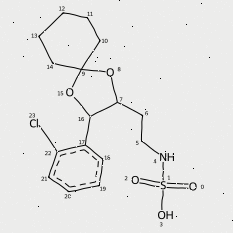 O=S(=O)(O)NCCC1OC2(CCCCC2)OC1c1ccccc1Cl